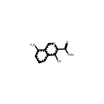 COC(=O)c1ncc2c([N+](=O)[O-])cccc2c1O